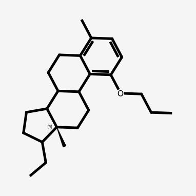 CCCOc1ccc(C)c2c1C1CC[C@]3(C)C(CC)CCC3C1CC2